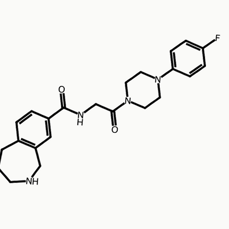 O=C(NCC(=O)N1CCN(c2ccc(F)cc2)CC1)c1ccc2c(c1)CNCCC2